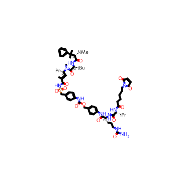 CN[C@H](C(=O)N[C@H](C(=O)N(C)[C@H](/C=C(\C)C(=O)NS(=O)(=O)Cc1ccc(NC(=O)OCc2ccc(NC(=O)[C@@H](CCCNC(N)=O)NC(=O)[C@H](NC(=O)CCCCCN3C(=O)C=CC3=O)C(C)C)cc2)cc1)C(C)C)C(C)(C)C)C(C)(C)c1ccccc1